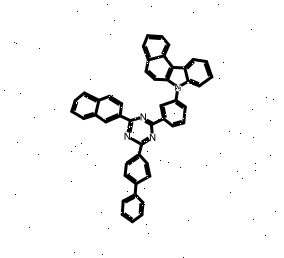 c1ccc(-c2ccc(-c3nc(-c4cccc(-n5c6ccccc6c6c7ccccc7ccc65)c4)nc(-c4ccc5ccccc5c4)n3)cc2)cc1